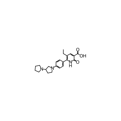 CCc1cc(C(=O)O)c(=O)[nH]c1-c1ccc(N2CCC(N3CCCC3)C2)cc1